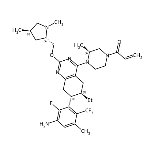 C=CC(=O)N1CCN(c2nc(OC[C@@H]3C[C@@H](C)CN3C)nc3c2C[C@@H](CC)[C@H](c2c(F)c(N)cc(C)c2C(F)(F)F)C3)[C@@H](C)C1